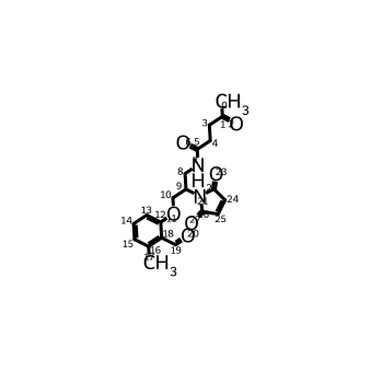 CC(=O)CCC(=O)NCC(COc1cccc(C)c1C=O)N1C(=O)C=CC1=O